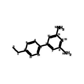 CCc1ccc(-c2cc(N)nc(N)c2)cc1